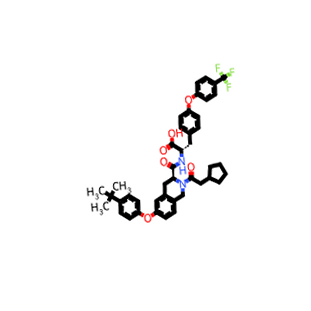 CC(C)(C)c1ccc(Oc2ccc3c(c2)C[C@@H](C(=O)N[C@@H](Cc2ccc(Oc4ccc(C(F)(F)F)cc4)cc2)C(=O)O)N(C(=O)CC2CCCC2)C3)cc1